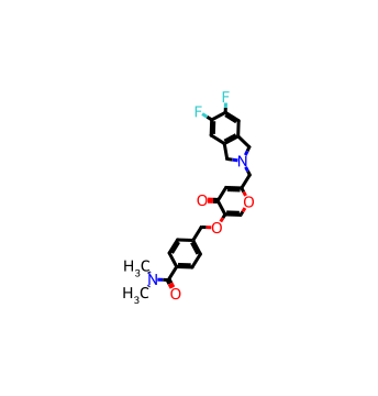 CN(C)C(=O)c1ccc(COc2coc(CN3Cc4cc(F)c(F)cc4C3)cc2=O)cc1